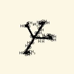 COC[C@@H]1C[C@@H](O)CN1C(=O)CCCCCCCCCCC(=O)N1C[C@H](COCCC(=O)NCCCNC(=O)CCCCO[C@@H]2O[C@H](CO)[C@H](O)[C@H](O)[C@H]2NC(C)=O)[C@@H](OCCC(=O)NCCCNC(=O)CCCCO[C@@H]2O[C@H](CO)[C@H](O)[C@H](O)[C@H]2NC(C)=O)[C@H](OCCC(=O)NCCCNC(=O)CCCCO[C@@H]2O[C@H](CO)[C@H](O)[C@H](O)[C@H]2NC(C)=O)C1